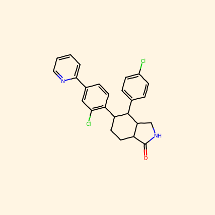 O=C1NCC2C1CCC(c1ccc(-c3ccccn3)cc1Cl)C2c1ccc(Cl)cc1